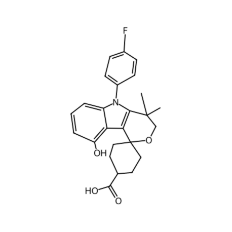 CC1(C)COC2(CCC(C(=O)O)CC2)c2c1n(-c1ccc(F)cc1)c1cccc(O)c21